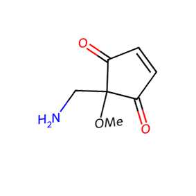 COC1(CN)C(=O)C=CC1=O